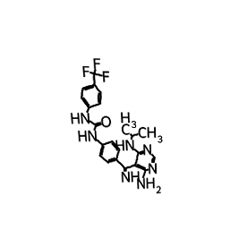 CC(C)Nc1ncnc(N)c1C(=N)c1ccc(NC(=O)Nc2ccc(C(F)(F)F)cc2)cc1